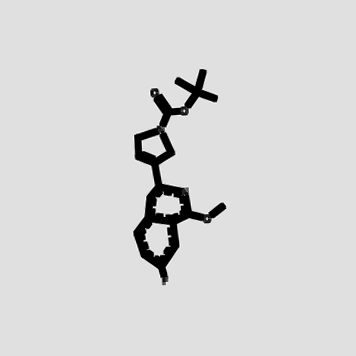 COc1nc(C2=CCN(C(=O)OC(C)(C)C)C2)cc2ccc(F)cc12